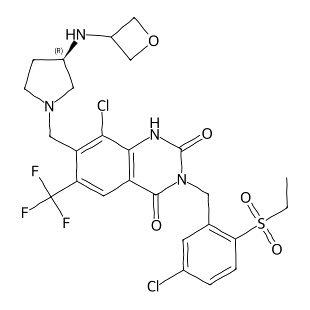 CCS(=O)(=O)c1ccc(Cl)cc1Cn1c(=O)[nH]c2c(Cl)c(CN3CC[C@@H](NC4COC4)C3)c(C(F)(F)F)cc2c1=O